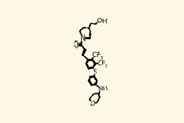 O=C(C=Cc1ccc(Sc2cccc(NC3CCOCC3)c2)c(C(F)(F)F)c1C(F)(F)F)N1CCC(CCO)CC1